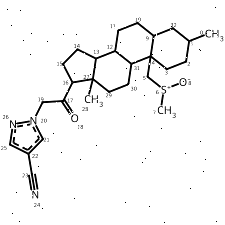 CC1CCC2(C[S+](C)[O-])C(CCC3C4CCC(C(=O)Cn5cc(C#N)cn5)C4(C)CCC32)C1